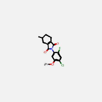 CC1CCC2=C(C1)C(=O)N(c1cc(OC(C)C)c(Cl)cc1F)C2=O